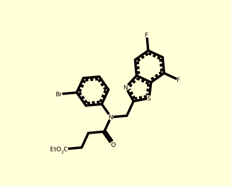 CCOC(=O)CCC(=O)N(Cc1nc2cc(F)cc(F)c2s1)c1cccc(Br)c1